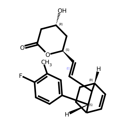 Cc1cc([C@H]2C3C=C[C@@H](CC3)C2/C=C/[C@@H]2C[C@@H](O)CC(=O)O2)ccc1F